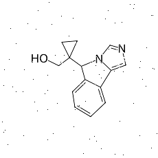 OCC1(C2c3ccccc3-c3cncn32)CC1